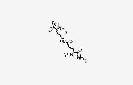 NC(=O)[C@@H](N)CCC(=O)NCCCC[C@H](N)C(=O)O